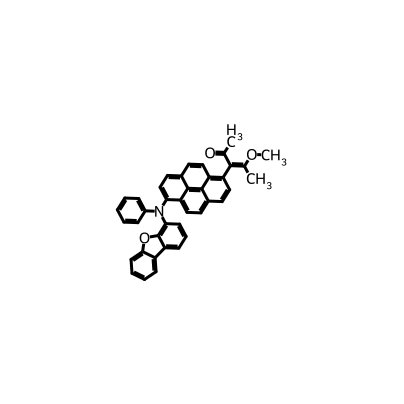 CO/C(C)=C(\C(C)=O)c1ccc2ccc3c(N(c4ccccc4)c4cccc5c4oc4ccccc45)ccc4ccc1c2c43